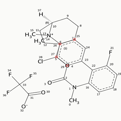 CN(C(=O)OC[C@]12CCC[C@H](CC1)[N+]2(C)C)c1cccc(F)c1-c1cccc(Cl)c1.O=C([O-])C(F)(F)F